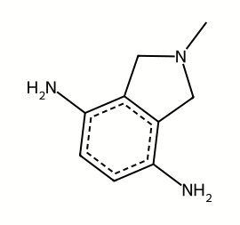 CN1Cc2c(N)ccc(N)c2C1